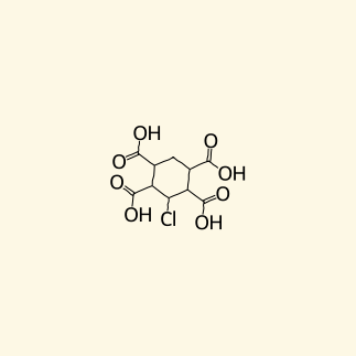 O=C(O)C1CC(C(=O)O)C(C(=O)O)C(Cl)C1C(=O)O